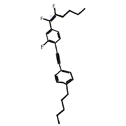 CCCCCc1ccc(C#Cc2ccc(/C(F)=C(/F)CCCC)cc2F)cc1